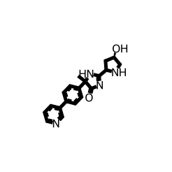 CC1(c2ccc(-c3cccnc3)cc2)NC(C2C[C@@H](O)CN2)=NC1=O